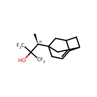 C[C@@H](C12CC=C3C(CC3C1)C2)C(O)(C(F)(F)F)C(F)(F)F